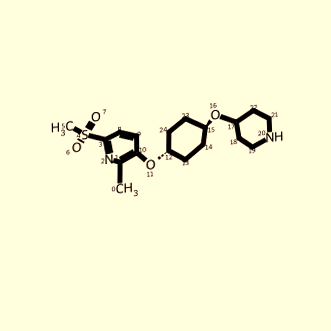 Cc1nc(S(C)(=O)=O)ccc1O[C@H]1CC[C@H](OC2CCNCC2)CC1